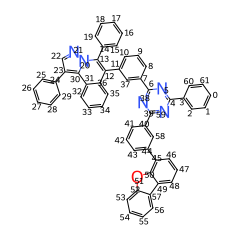 c1ccc(-c2nc(-c3cccc(-c4c(-c5ccccc5)n5ncc(-c6ccccc6)c5c5ccccc45)c3)nc(-c3cccc(-c4cccc5c4oc4ccccc45)c3)n2)cc1